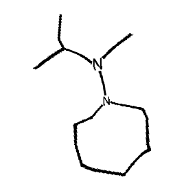 CC(C)N(C)N1CCCCC1